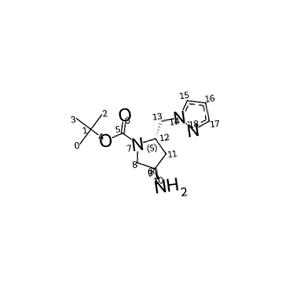 CC(C)(C)OC(=O)N1C[C@H](N)C[C@H]1Cn1cccn1